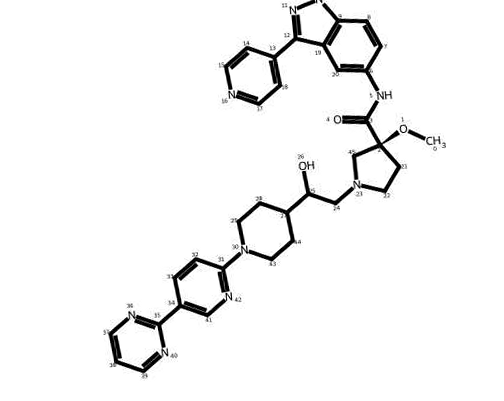 CO[C@@]1(C(=O)Nc2ccc3[nH]nc(-c4ccncc4)c3c2)CCN(CC(O)C2CCN(c3ccc(-c4ncccn4)cn3)CC2)C1